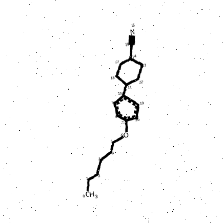 CCCCCCOc1ccc(C2CCC(C#N)CC2)cc1